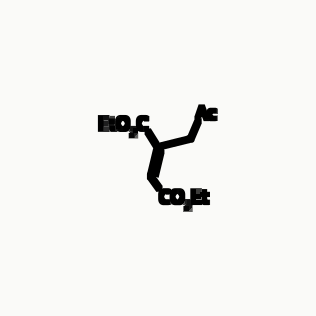 CCOC(=O)/C=C(\CC(C)=O)C(=O)OCC